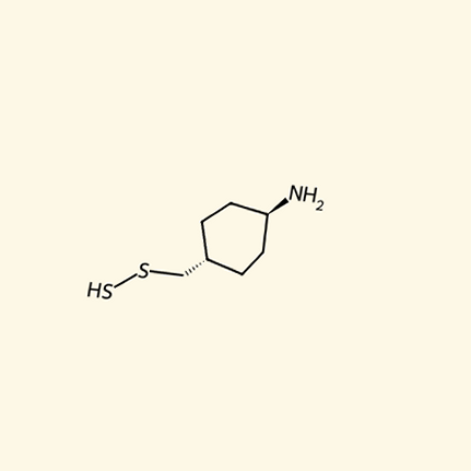 N[C@H]1CC[C@H](CSS)CC1